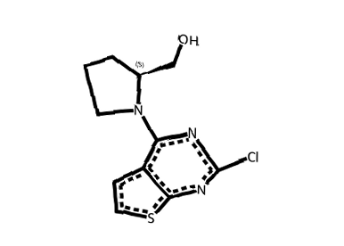 OC[C@@H]1CCCN1c1nc(Cl)nc2sccc12